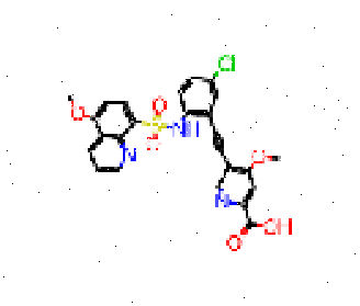 COc1cc(C(=O)O)ncc1C#Cc1cc(Cl)ccc1NS(=O)(=O)c1ccc(OC)c2cccnc12